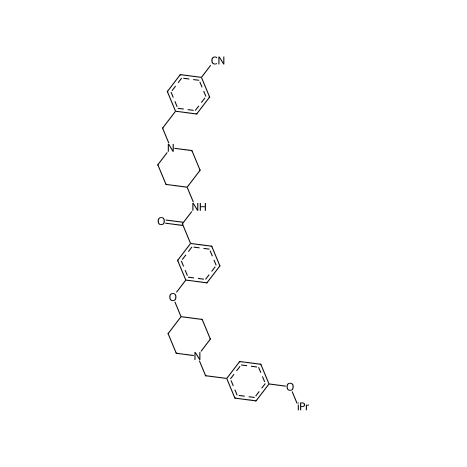 CC(C)Oc1ccc(CN2CCC(Oc3cccc(C(=O)NC4CCN(Cc5ccc(C#N)cc5)CC4)c3)CC2)cc1